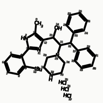 Cc1[nH]c(-c2ccccc2C(C)(C)C)nc1C(O)C(C(c1ccccc1)c1ccccc1)N1CCNCC1.Cl.Cl.Cl